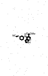 COC(=O)c1cnc2[nH]ccc2c1N[C@@H]1CCC[C@H](CCC#N)C1